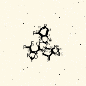 CC1CN(C(=O)c2ocnc2C(F)F)[C@H](c2nc3cccc(F)c3o2)c2nc[nH]c21